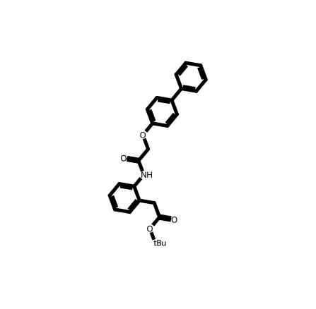 CC(C)(C)OC(=O)Cc1ccccc1NC(=O)COc1ccc(-c2ccccc2)cc1